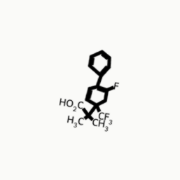 CC(C)(C(=O)O)C1(C(F)(F)F)C=CC(c2ccccc2)=C(F)C1